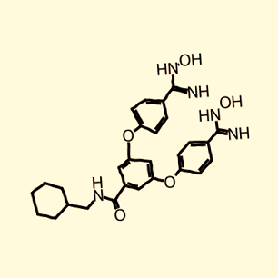 N=C(NO)c1ccc(Oc2cc(Oc3ccc(C(=N)NO)cc3)cc(C(=O)NCC3CCCCC3)c2)cc1